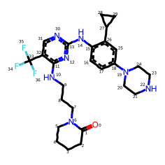 O=C1CCCCN1CCCNc1nc(Nc2ccc(N3CCNCC3)cc2C2CC2)ncc1C(F)(F)F